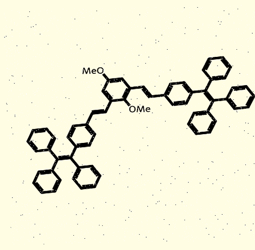 COc1cc(C=Cc2ccc(C(=C(c3ccccc3)c3ccccc3)c3ccccc3)cc2)c(OC)c(C=Cc2ccc(C(=C(c3ccccc3)c3ccccc3)c3ccccc3)cc2)c1